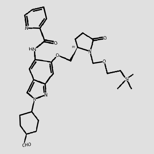 C[Si](C)(C)CCOCN1C(=O)CC[C@@H]1COc1cc2nn(C3CCC(C=O)CC3)cc2cc1NC(=O)c1ccccn1